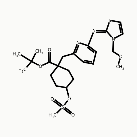 COCn1ccs/c1=N/c1cccc(CC2(C(=O)OC(C)(C)C)CCC(OS(C)(=O)=O)CC2)n1